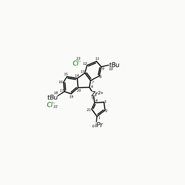 CC(C)C1=CC[C]([Zr+2][CH]2c3cc(C(C)(C)C)ccc3-c3ccc(C(C)(C)C)cc32)=C1.[Cl-].[Cl-]